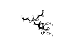 Cn1nc(CP(=O)(OCCF)OCCF)cc1S(C)(=O)=O